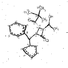 CC(O)[C@H]1C(=O)N(C(c2ccccc2)c2ccccc2)[C@@H]1C(=O)C(C)(C)C